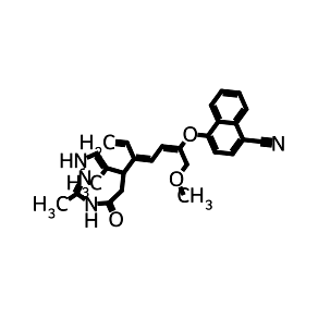 C=C/C(=C\C=C(/COC)Oc1ccc(C#N)c2ccccc12)C1CC(=O)N/C(C)=N/N/C=C/1C